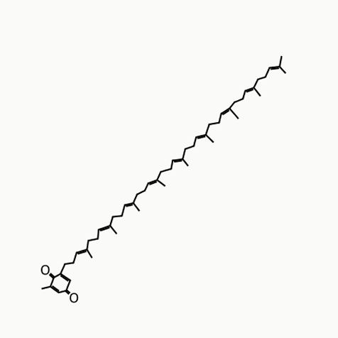 CC(C)=CCC/C(C)=C/CC/C(C)=C/CC/C(C)=C/CC/C(C)=C/CC/C(C)=C/CC/C(C)=C/CC/C(C)=C/CC/C(C)=C/CCC1=CC(=O)C=C(C)C1=O